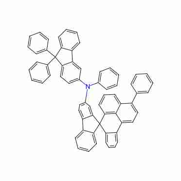 c1ccc(-c2ccc3c4c(cccc24)C2(c4ccccc4-c4ccc(N(c5ccccc5)c5ccc6c(c5)-c5ccccc5C6(c5ccccc5)c5ccccc5)cc42)c2ccccc2-3)cc1